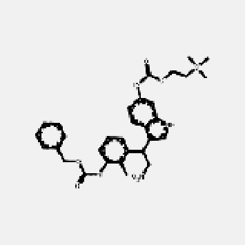 Cc1c(NC(=O)OCc2ccccc2)cccc1C(C[N+](=O)[O-])c1c[nH]c2cc(NC(=O)OCC[Si](C)(C)C)ccc12